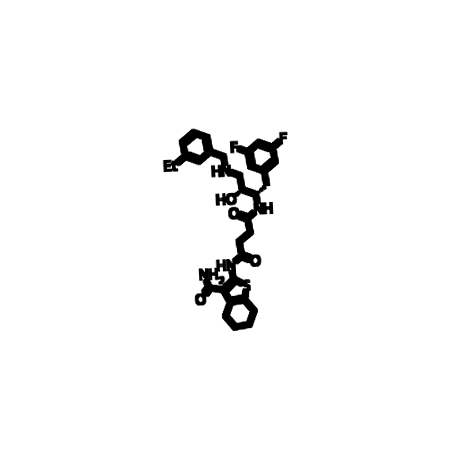 CCc1cccc(CNC[C@@H](O)[C@H](Cc2cc(F)cc(F)c2)NC(=O)CCC(=O)Nc2sc3c(c2C(N)=O)CCCC3)c1